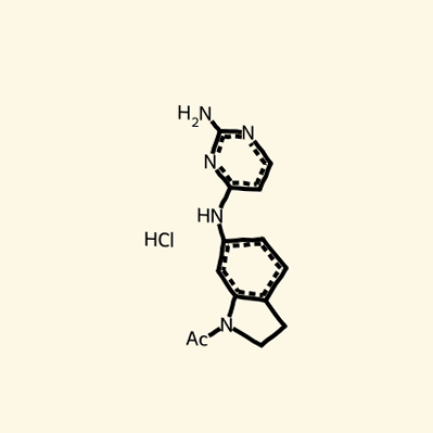 CC(=O)N1CCc2ccc(Nc3ccnc(N)n3)cc21.Cl